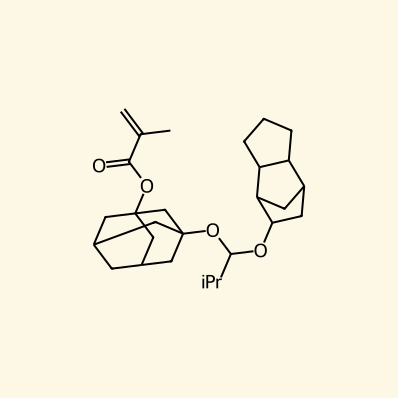 C=C(C)C(=O)OC12CC3CC(C1)CC(OC(OC1CC4CC1C1CCCC41)C(C)C)(C3)C2